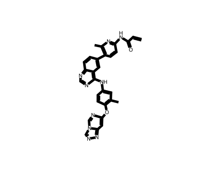 C=CC(=O)Nc1ccc(-c2ccc3ncnc(Nc4ccc(Oc5cc6nncn6cn5)c(C)c4)c3c2)c(C)n1